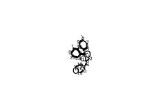 c1ccc(C2(C3CCCCC3)OCC(CN3CCOCC3)O2)cc1